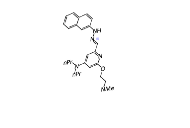 CCCN(CCC)c1cc(/C=N/Nc2ccc3ccccc3c2)nc(OCCNC)c1